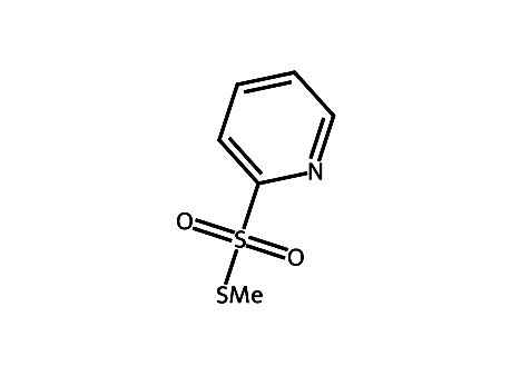 CSS(=O)(=O)c1ccccn1